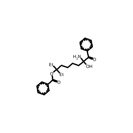 CCC(CC)(CCCCC(N)(O)C(=O)c1ccccc1)OC(=O)c1ccccc1